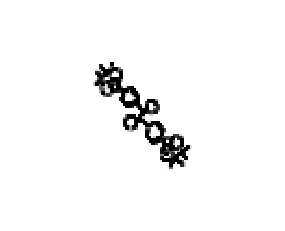 CC1(C)OB(c2ccc(C(=O)C(=O)c3ccc(B4OC(C)(C)C(C)(C)O4)cc3)cc2)OC1(C)C